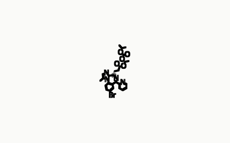 Cc1cnc2n1-c1ccc(Br)cc1C(c1ccccn1)=N[C@H]2CCC(=O)OC(C)OC(=O)OC(C)C